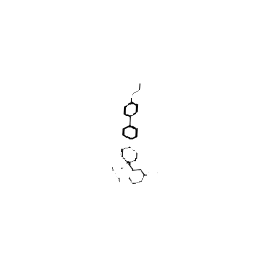 CCCc1ccc(-c2ccc([C@H]3CC[C@@](C#N)([C@@H]4CCCC(=O)C4)CC3)cc2)cc1